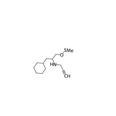 C#CCNC(COSC)CC1CCCCC1